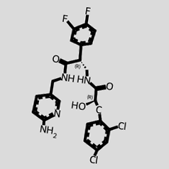 Nc1ccc(CNC(=O)[C@@H](CNC(=O)[C@H](O)Cc2ccc(Cl)cc2Cl)c2ccc(F)c(F)c2)cn1